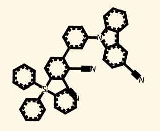 N#Cc1ccc2c(c1)c1ccccc1n2-c1cccc(-c2ccc([Si](c3ccccc3)(c3ccccc3)c3ccccc3)c(C#N)c2C#N)c1